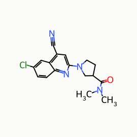 CN(C)C(=O)C1CCN(c2cc(C#N)c3cc(Cl)ccc3n2)C1